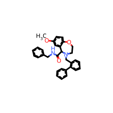 COc1ccc2c(c1)C(C(=O)NCc1ccccc1)N(Cc1ccccc1-c1ccccc1)CCO2